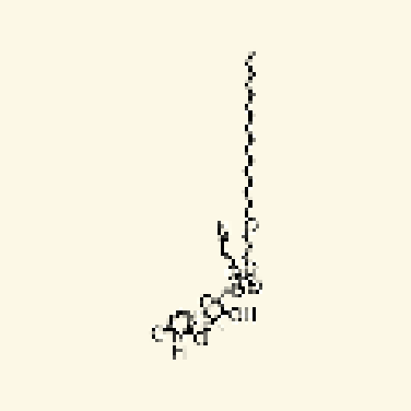 CCCCCCCCCCCCCCCCOCCCOP(=O)(OCCC#N)OC[C@H]1O[C@@H](n2ccc(=O)[nH]c2=O)[C@](C)(F)[C@@H]1O